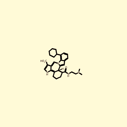 CN(C)CCNC(=O)C1CCCC2=c3[nH]cc(C(=O)O)c3=Cn3c(cc4cccc(C5CCCCC5)c43)[C@@H]21